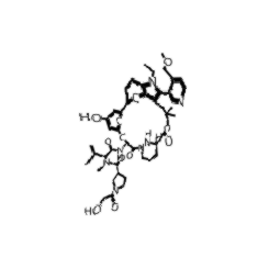 CCn1c(-c2cnccc2COC)c2c3cc(ccc31)-c1cc(O)cc(c1)C[C@H](NC(=O)C(C(C)C)N(C)C(=O)[C@H]1CCN(C(=O)CO)C1)C(=O)N1CCC[C@H](N1)C(=O)OCC(C)(C)C2